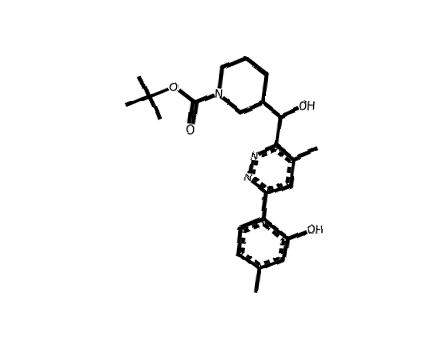 Cc1ccc(-c2cc(C)c(C(O)C3CCCN(C(=O)OC(C)(C)C)C3)nn2)c(O)c1